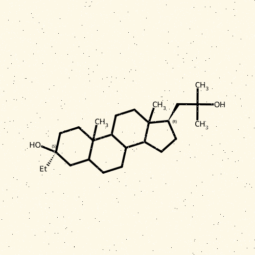 CC[C@]1(O)CCC2(C)C(CCC3C2CCC2(C)C3CC[C@@H]2CC(C)(C)O)C1